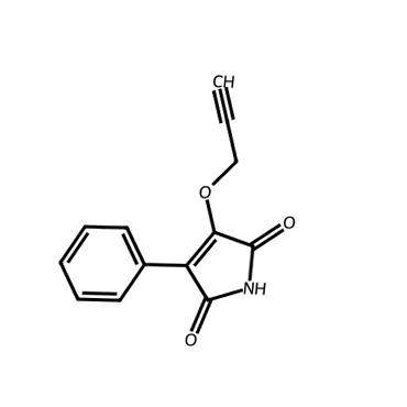 C#CCOC1=C(c2ccccc2)C(=O)NC1=O